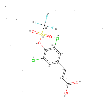 O=C(O)C=Cc1cc(Cl)c(OS(=O)(=O)C(F)(F)F)c(Cl)c1